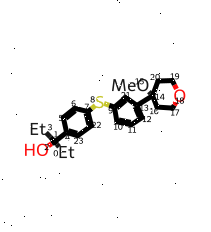 CCC(O)(CC)c1ccc(Sc2cccc(C3(OC)CCOCC3)c2)cc1